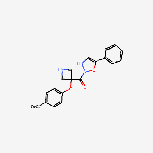 O=Cc1ccc(OC2(C(=O)N3NC=C(c4ccccc4)O3)CNC2)cc1